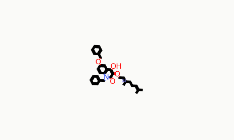 CC(C)=CCC/C(C)=C/COc1c(O)c2cc(OCc3ccccc3)ccc2n(Cc2ccccc2)c1=O